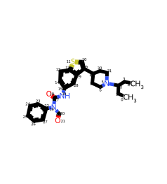 CCC(CC)N1CCC(c2csc3ccc(NC(=O)N(C=O)c4ccccc4)cc23)CC1